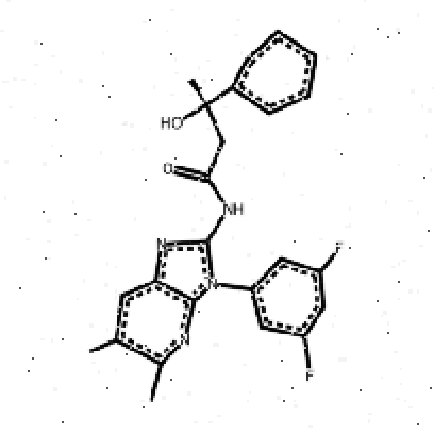 Cc1cc2nc(NC(=O)C[C@](C)(O)c3ccccc3)n(-c3cc(F)cc(F)c3)c2nc1C